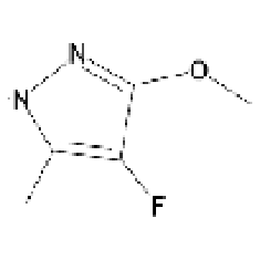 COC1=N[N]C(C)=C1F